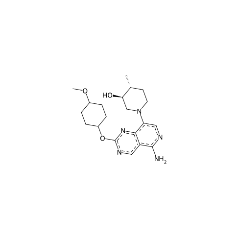 COC1CCC(Oc2ncc3c(N)ncc(N4CC[C@@H](C)[C@H](O)C4)c3n2)CC1